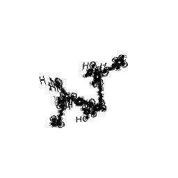 C=C1C[C@@H](CO)N(C(=O)c2cc(OC)c(OCCCCCOc3cc(NC(=O)OCc4cc5c(n4C)C(=O)C=C(OC)C5=O)c(C(=O)N4CC(=C)C[C@H]4CO)cc3OC)cc2NC(=O)OCc2ccc(NC(=O)[C@H](CCCNC(N)=O)NC(=O)[C@@H](NC(=O)CCCCCN3C(=O)C=CC3=O)C(C)C)cc2)C1